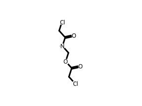 O=C(CCl)[N]COC(=O)CCl